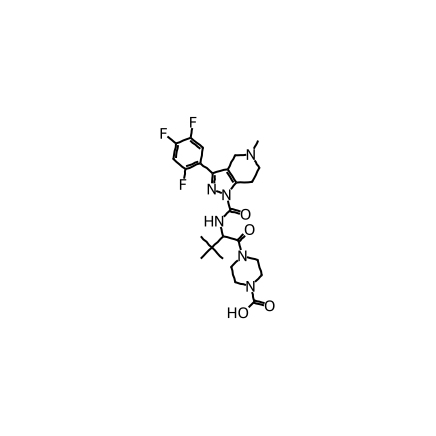 CN1CCc2c(c(-c3cc(F)c(F)cc3F)nn2C(=O)NC(C(=O)N2CCN(C(=O)O)CC2)C(C)(C)C)C1